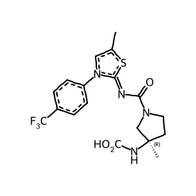 Cc1cn(-c2ccc(C(F)(F)F)cc2)c(=NC(=O)N2CC[C@@](C)(NC(=O)O)C2)s1